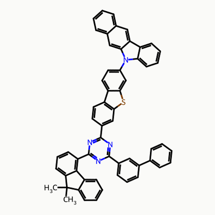 CC1(C)c2ccccc2-c2c(-c3nc(-c4cccc(-c5ccccc5)c4)nc(-c4ccc5c(c4)sc4cc(-n6c7ccccc7c7cc8ccccc8cc76)ccc45)n3)cccc21